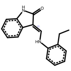 CCc1ccccc1N/C=C1/C(=O)Nc2ccccc21